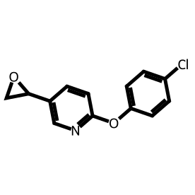 Clc1ccc(Oc2ccc(C3CO3)cn2)cc1